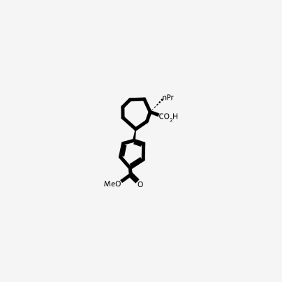 CCC[C@@]1(C(=O)O)CCCC[C@H](c2ccc(C(=O)OC)cc2)C1